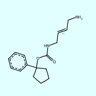 NC/C=C/CNC(=O)OC1(c2ccccc2)CCCC1